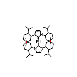 CC1CCC(C(C)C)C(n2ccn(C3CC(C)CCC3C(C)C)[c]2=[Pd]=[c]2n(C3CC(C)CCC3C(C)C)ccn2C2CC(C)CCC2C(C)C)C1